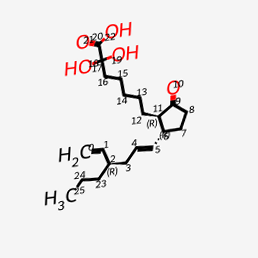 C=C[C@@H](CC=C[C@H]1CCC(=O)[C@@H]1CCCCCC(O)(O)C(=O)O)CCC